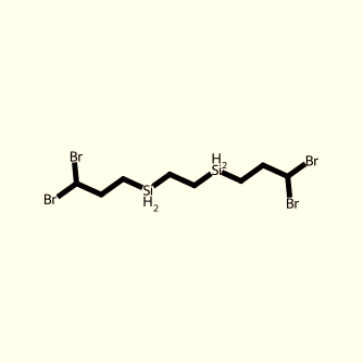 BrC(Br)CC[SiH2]CC[SiH2]CCC(Br)Br